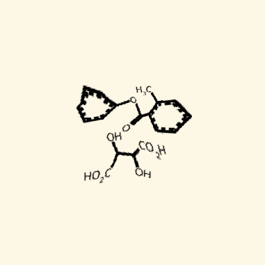 Cc1ccccc1C(=O)Oc1ccccc1.O=C(O)C(O)C(O)C(=O)O